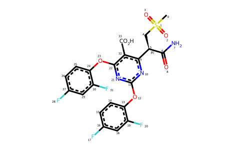 CS(=O)(=O)C[C@@H](C(N)=O)c1nc(Oc2ccc(F)cc2F)nc(Oc2ccc(F)cc2F)c1C(=O)O